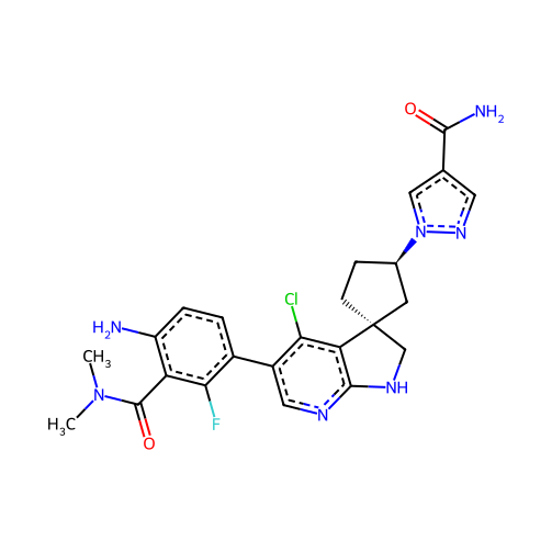 CN(C)C(=O)c1c(N)ccc(-c2cnc3c(c2Cl)[C@]2(CC[C@@H](n4cc(C(N)=O)cn4)C2)CN3)c1F